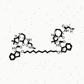 CNCC(=O)N[C@H]1CCS[C@H]2CC(C)(C)[C@@H](C(=O)N[C@H]3c4ccccc4C[C@H]3OCCCCCCCCCCCCO[C@@H]3Cc4ccccc4[C@@H]3NC(=O)[C@H]3N4C(=O)[C@@H](NC(=O)[C@H](C)NC)CCS[C@H]4CC3(C)C)N2C1=O